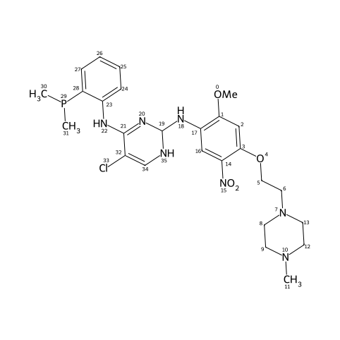 COc1cc(OCCN2CCN(C)CC2)c([N+](=O)[O-])cc1NC1N=C(Nc2ccccc2P(C)C)C(Cl)=CN1